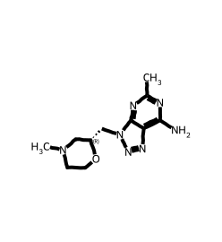 Cc1nc(N)c2nnn(C[C@H]3CN(C)CCO3)c2n1